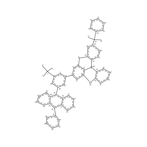 CC(C)(C)c1cc(-c2cc3c4c(c2)Oc2ccccc2B4c2ccc(C(C)(C)c4ccccc4)cc2C3)cc(-c2c3ccccc3c(-c3ccccc3)c3ccccc23)c1